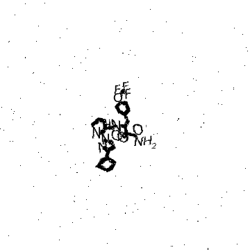 NC(=O)C(=O)C(Cc1ccc(OC(F)(F)F)cc1)NC(=O)c1cccnc1-n1ccc(-c2ccccc2)n1